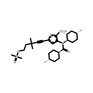 CC(C)(C#Cc1cc(N(C(=O)[C@H]2CC[C@H](C)CC2)[C@H]2CC[C@H](C)CC2)c(C(=O)O)s1)CCOP(C)(C)=O